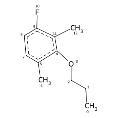 CCCOc1c(C)ccc(F)c1C